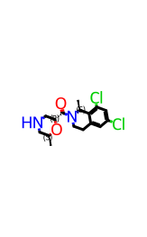 C[C@H]1CNC[C@H](C(=O)N2CCc3cc(Cl)cc(Cl)c3[C@@H]2C)O1